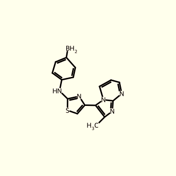 Bc1ccc(Nc2nc(-c3c(C)nc4ncccn34)cs2)cc1